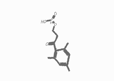 Cc1cc(C)c(C(=O)CCO[PH](=O)O)c(C)c1